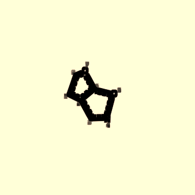 c1cc2cnoc2o1